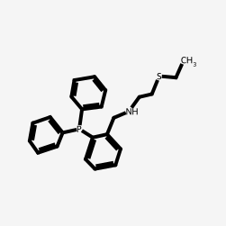 CCSCCNCc1ccccc1P(c1ccccc1)c1ccccc1